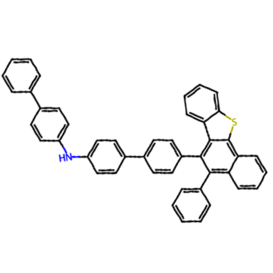 c1ccc(-c2ccc(Nc3ccc(-c4ccc(-c5c(-c6ccccc6)c6ccccc6c6sc7ccccc7c56)cc4)cc3)cc2)cc1